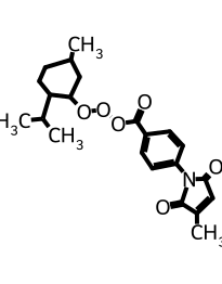 CC1=CC(=O)N(c2ccc(C(=O)OOOC3CC(C)CCC3C(C)C)cc2)C1=O